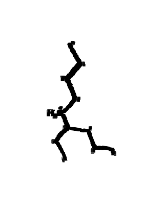 CCCC[SiH2]C(CC)CCC